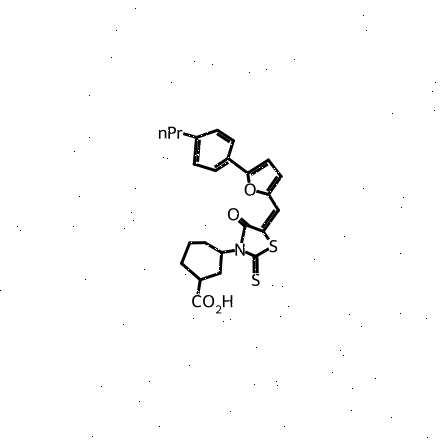 CCCc1ccc(-c2ccc(C=C3SC(=S)N(C4CCCC(C(=O)O)C4)C3=O)o2)cc1